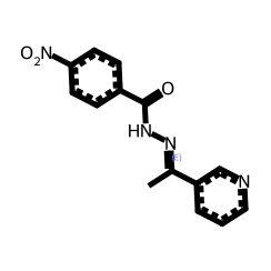 C/C(=N\NC(=O)c1ccc([N+](=O)[O-])cc1)c1cccnc1